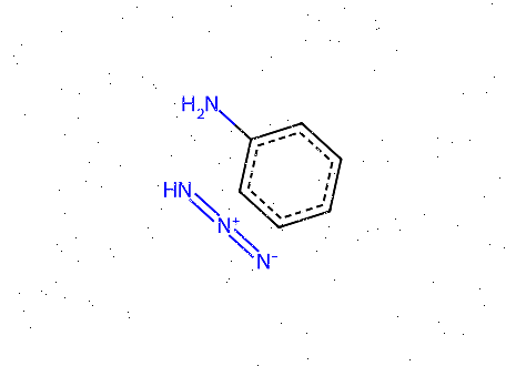 Nc1ccccc1.[N-]=[N+]=N